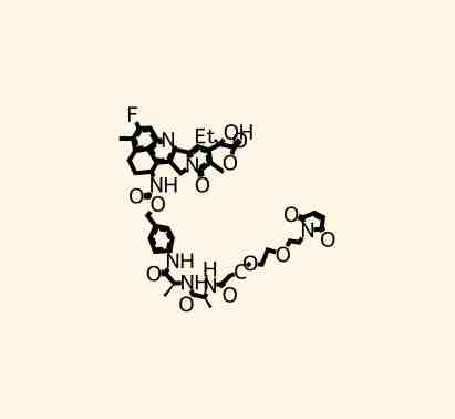 CC[C@@]1(O)C(=O)OCc2c1cc1n(c2=O)Cc2c-1nc1cc(F)c(C)c3c1c2C(NC(=O)OCc1ccc(NC(=O)[C@H](C)NC(=O)[C@H](C)NC(=O)CCOCCOCCN2C(=O)C=CC2=O)cc1)CC3